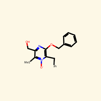 CSc1c(CO)nc(OCc2ccccc2)c(CC(C)C)[n+]1[O-]